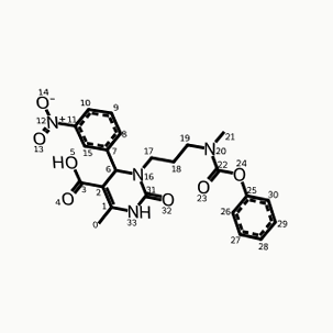 CC1=C(C(=O)O)C(c2cccc([N+](=O)[O-])c2)N(CCCN(C)C(=O)Oc2ccccc2)C(=O)N1